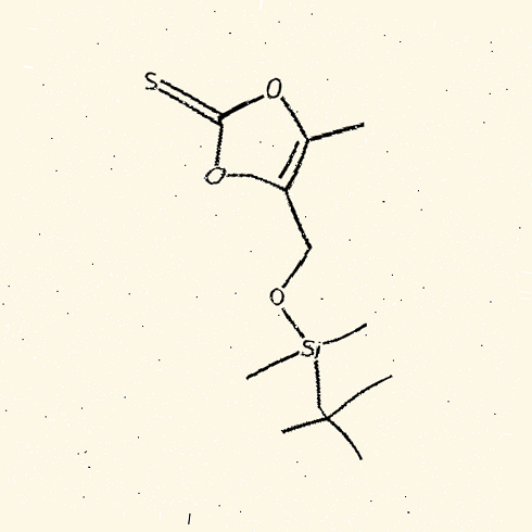 Cc1oc(=S)oc1CO[Si](C)(C)C(C)(C)C